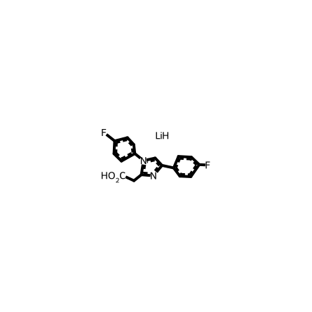 O=C(O)Cc1nc(-c2ccc(F)cc2)cn1-c1ccc(F)cc1.[LiH]